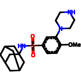 COc1ccc(S(=O)(=O)NC23CC4CC(CC(C4)C2)C3)cc1N1CCNCC1